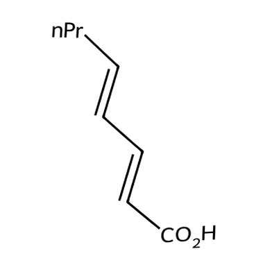 CCC/C=C/C=C/C(=O)O